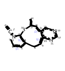 C=C=N/C1=C(\C=C/C)C/C=c2/ncnc/c2=C/C(=C)S1